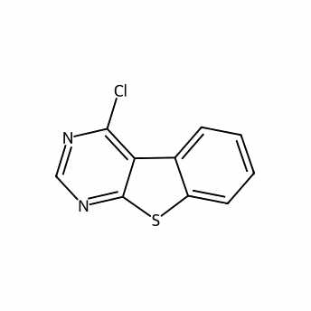 Clc1ncnc2sc3ccccc3c12